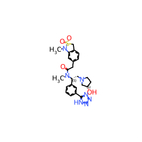 CN(C(=O)Cc1ccc2c(c1)N(C)S(=O)(=O)C2)[C@H](CN1CC[C@H](O)C1)c1cccc(-c2nnn[nH]2)c1